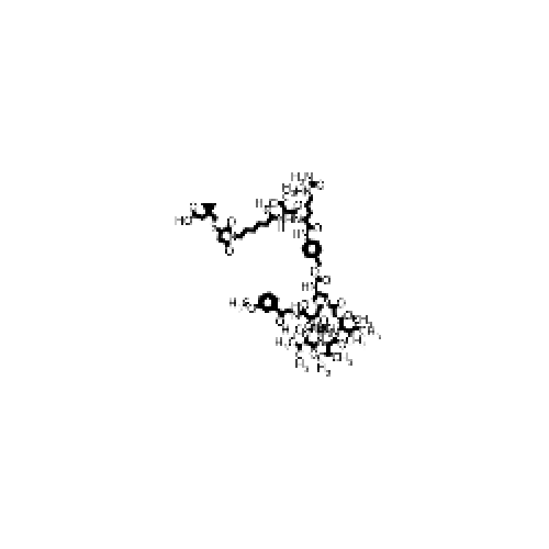 CC[C@H](C)C([C@@H](CC(=O)N1C[C@@H](NC(=O)OCc2ccc(NC(=O)C(CCCNC(N)=O)NC(=O)[C@@H](NC(=O)CCCCCN3C(=O)CC(SCC4(CC(=O)O)CC4)C3=O)C(C)C)cc2)C[C@H]1[C@H](OC)[C@@H](C)C(=O)NCC(=O)c1cccc(OC)c1)OC)N(C)C(=O)[C@@H](NC(=O)[C@H](C(C)C)N(C)C)C(C)C